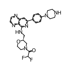 O=C(C(F)F)N1CCO[C@@H](CNc2nc(-c3ccc(N4CCNCC4)cc3)cc3nccnc23)C1